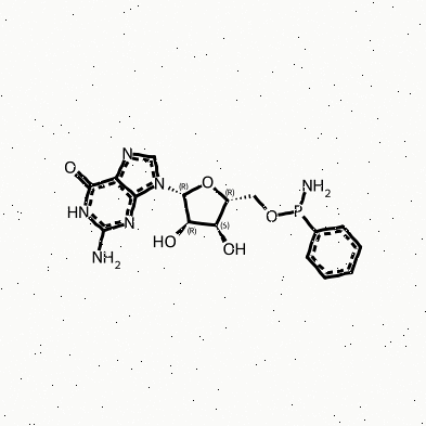 Nc1nc2c(ncn2[C@@H]2O[C@H](COP(N)c3ccccc3)[C@@H](O)[C@H]2O)c(=O)[nH]1